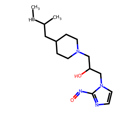 CBC(C)CC1CCN(CC(O)Cn2ccnc2N=O)CC1